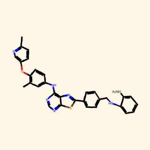 CC(=O)Nc1ccccc1NCc1ccc(-c2nc3c(Nc4ccc(Oc5ccc(C)nc5)c(C)c4)ncnc3s2)cc1